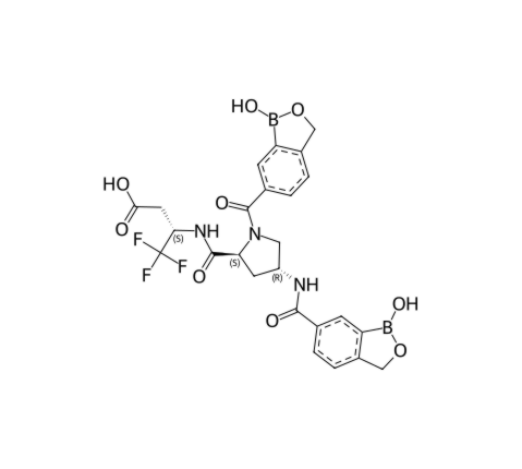 O=C(O)C[C@H](NC(=O)[C@@H]1C[C@@H](NC(=O)c2ccc3c(c2)B(O)OC3)CN1C(=O)c1ccc2c(c1)B(O)OC2)C(F)(F)F